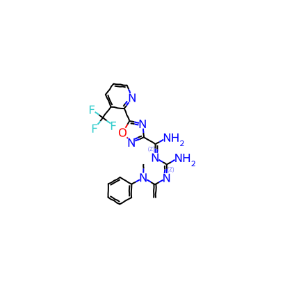 C=C(/N=C(N)\N=C(/N)c1noc(-c2ncccc2C(F)(F)F)n1)N(C)c1ccccc1